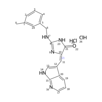 Cc1cccc(CNC2=N/C(=C\c3c[nH]c4ncccc34)C(=O)N2)c1.Cl.Cl